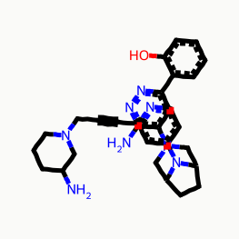 Nc1nnc(-c2ccccc2O)cc1N1CC2CCC(C1)N2c1ccnc(C#CCN2CCCC(N)C2)c1